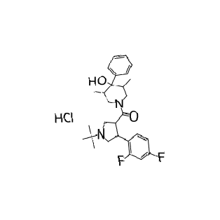 CC1CN(C(=O)C2CN(C(C)(C)C)CC2c2ccc(F)cc2F)CC(C)C1(O)c1ccccc1.Cl